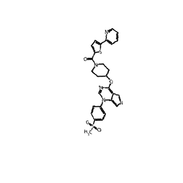 CS(=O)(=O)c1ccc(-n2cnc(OC3CCN(C(=O)c4ccc(-c5ccccn5)s4)CC3)c3cncc2-3)cc1